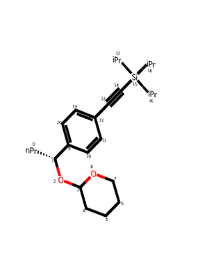 CCC[C@@H](OC1CCCCO1)c1ccc(C#C[Si](C(C)C)(C(C)C)C(C)C)cc1